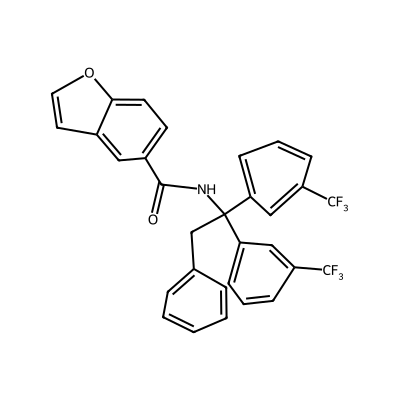 O=C(NC(Cc1ccccc1)(c1cccc(C(F)(F)F)c1)c1cccc(C(F)(F)F)c1)c1ccc2occc2c1